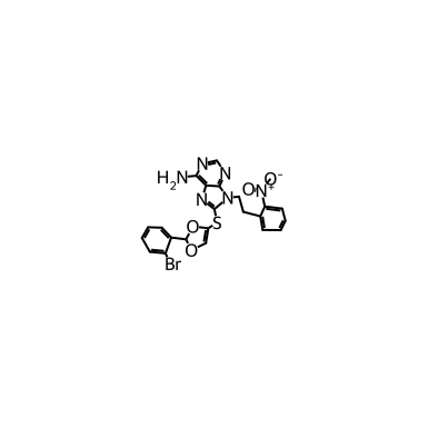 Nc1ncnc2c1nc(SC1=COC(c3ccccc3Br)O1)n2CCc1ccccc1[N+](=O)[O-]